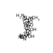 CO/N=C(\C(=O)N[C@@H]1C(=O)N2C(C(=O)O)=C(CSc3c(C(=O)O)cnc4cnnn34)CS[C@H]12)c1csc(N)n1